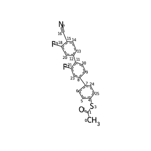 CC(=O)Sc1ccc(-c2ccc(-c3ccc(C#N)c(F)c3)c(F)c2)cc1